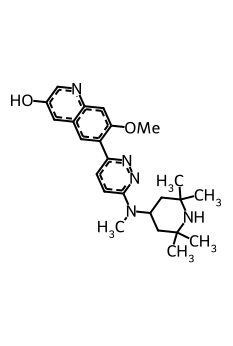 COc1cc2ncc(O)cc2cc1-c1ccc(N(C)C2CC(C)(C)NC(C)(C)C2)nn1